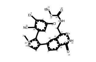 CCc1cc(Cl)cc(-c2c(-c3ccc4c(=O)[nH]nc(CNC(=O)OC(C)(C)C)c4c3)cnn2C)c1C#N